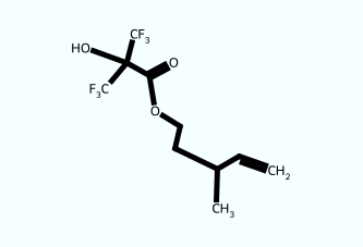 C=CC(C)CCOC(=O)C(O)(C(F)(F)F)C(F)(F)F